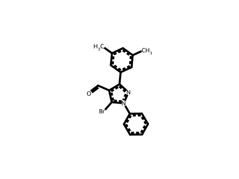 Cc1cc(C)cc(-c2nn(-c3ccccc3)c(Br)c2C=O)c1